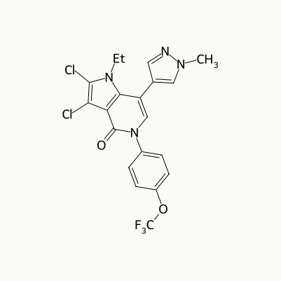 CCn1c(Cl)c(Cl)c2c(=O)n(-c3ccc(OC(F)(F)F)cc3)cc(-c3cnn(C)c3)c21